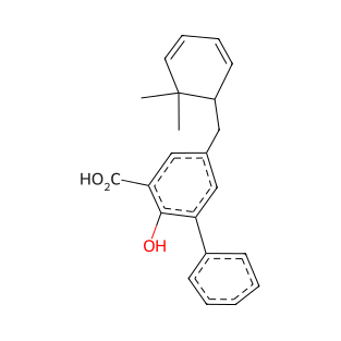 CC1(C)C=CC=CC1Cc1cc(C(=O)O)c(O)c(-c2ccccc2)c1